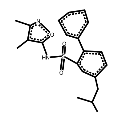 Cc1noc(NS(=O)(=O)c2cc(CC(C)C)ccc2-c2ccccc2)c1C